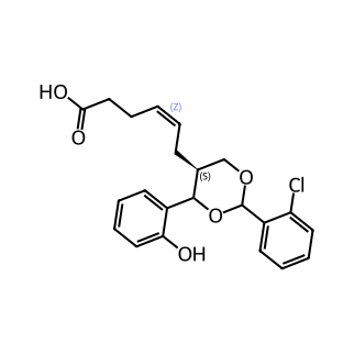 O=C(O)CC/C=C\C[C@H]1COC(c2ccccc2Cl)OC1c1ccccc1O